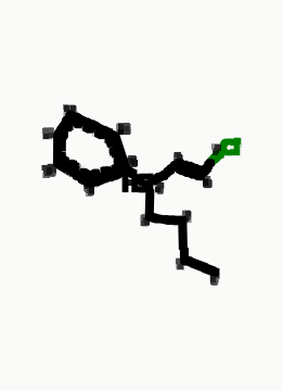 CCCC[SiH](C=CCl)c1ccccc1